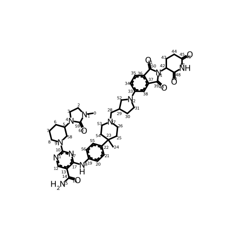 CN1CCN(C2CCCN(c3ncc(C(N)=O)c(Nc4ccc(C5(C)CCN(CC6CCN(c7ccc8c(c7)C(=O)N(C7CCC(=O)NC7=O)C8=O)C6)CC5)cc4)n3)C2)C1=O